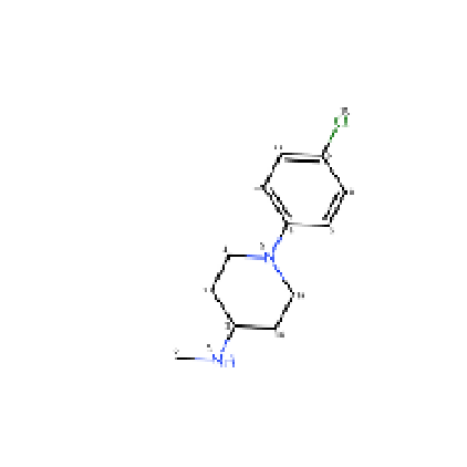 CNC1CCN(c2ccc(Cl)cc2)CC1